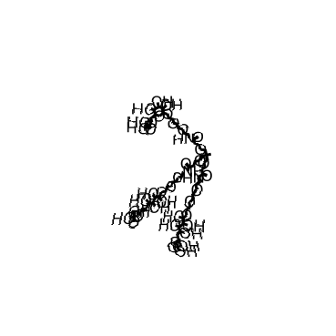 CC(COCCC(=O)NCCOCCOCCOC(O)C(O)C(O)C(O)CCOP(=O)(O)O)(COCCC(=O)NCCOCCOCCOC(O)C(O)C(O)C(O)CCOP(=O)(O)O)COCCC(=O)NCCOCCOCCOC1OC(COP(=O)(O)O)C(O)C(O)C1O